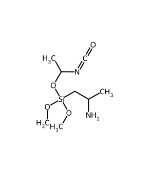 CO[Si](CC(C)N)(OC)OC(C)N=C=O